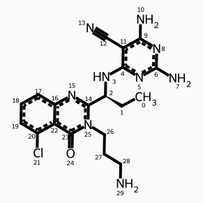 CC[C@H](Nc1nc(N)nc(N)c1C#N)c1nc2cccc(Cl)c2c(=O)n1CCCN